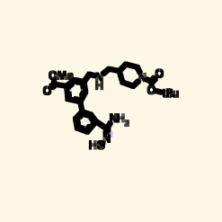 COC(=O)c1cc(CNCC2CCN(C(=O)OC(C)(C)C)CC2)cc(-c2cccc(/C(N)=N\O)c2)c1